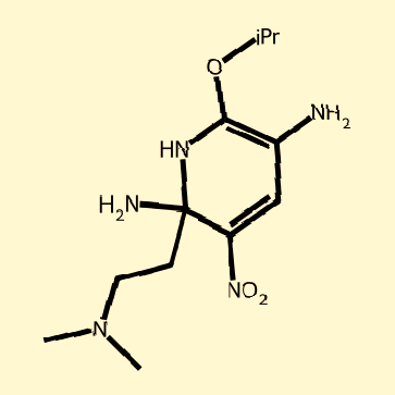 CC(C)OC1=C(N)C=C([N+](=O)[O-])C(N)(CCN(C)C)N1